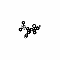 Fc1ccc2c(c1)C1(CCCCCC1)c1c3c(c4ccccc4c1-2)OC(c1ccc(-c2nc(-c4ccccc4)nc(-c4ccccc4)n2)cc1)(c1ccc(N2CCOCC2)cc1)C=C3